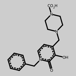 O=C(O)N1CCN(Cc2ccn(Cc3ccccc3)c(=O)c2O)CC1